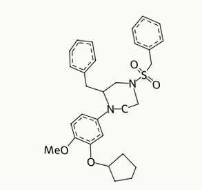 COc1ccc(N2CCN(S(=O)(=O)Cc3ccccc3)CC2Cc2ccccc2)cc1OC1CCCC1